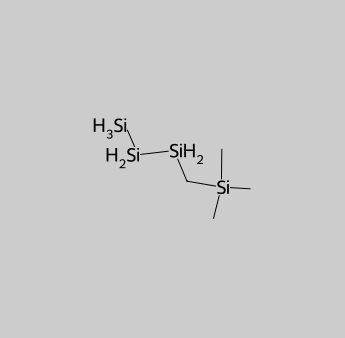 C[Si](C)(C)C[SiH2][SiH2][SiH3]